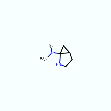 CCN(C(=O)O)C12CC1CCN2